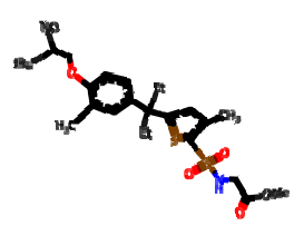 CCC(CC)(c1ccc(OCC(N=O)C(C)(C)C)c(C)c1)c1cc(C)c(S(=O)(=O)NCC(=O)OC)s1